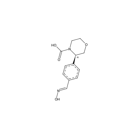 O=C(O)N1CCOC[C@H]1c1ccc(C=NO)cc1